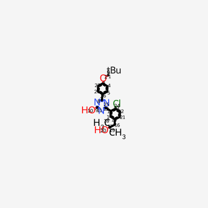 CC(C)(C)COc1ccc(-c2nc(O)nc(-c3cc(CC(C)(C)O)ccc3Cl)n2)cc1